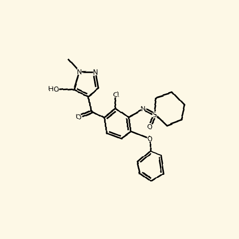 Cn1ncc(C(=O)c2ccc(Oc3ccccc3)c(N=S3(=O)CCCCC3)c2Cl)c1O